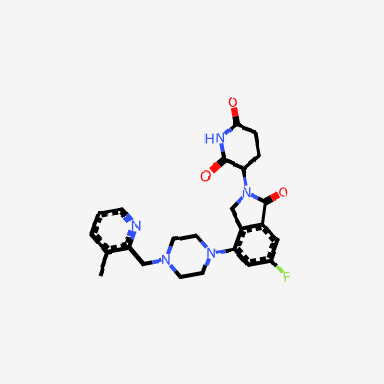 Cc1cccnc1CN1CCN(c2cc(F)cc3c2CN(C2CCC(=O)NC2=O)C3=O)CC1